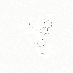 CC[C@@]1(O)C(=O)OCc2c1cc1n(c2=O)Cc2c-1nc1cc(F)c(C)c3c1c2C(NC(=O)C(C)O)CC3